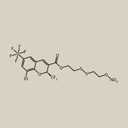 CCc1cc(S(F)(F)(F)(F)F)cc2c1O[C@H](C(F)(F)F)C(C(=O)OCCSSCCO[N+](=O)[O-])=C2